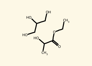 CCOC(=O)C(C)O.OCC(O)CO